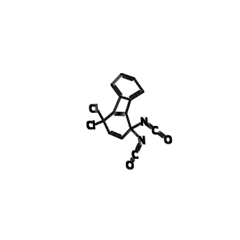 O=C=NC1(N=C=O)C=CC(Cl)(Cl)C2=C1c1ccccc12